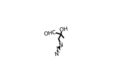 CC(O)(C=O)CN=[N+]=[N-]